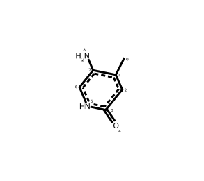 Cc1[c]c(=O)[nH]cc1N